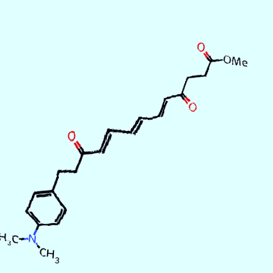 COC(=O)CCC(=O)C=CC=CC=CC(=O)CCc1ccc(N(C)C)cc1